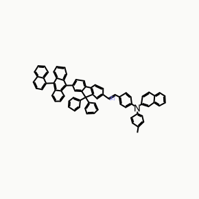 Cc1ccc(N(c2ccc(/C=C/c3ccc4c(c3)C(c3ccccc3)(c3ccccc3)c3cc(-c5c6ccccc6c(-c6cccc7ccccc67)c6ccccc56)ccc3-4)cc2)c2ccc3ccccc3c2)cc1